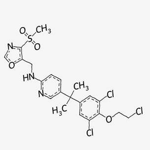 CC(C)(c1ccc(NCc2ocnc2S(C)(=O)=O)nc1)c1cc(Cl)c(OCCCl)c(Cl)c1